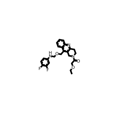 CCOCC(=O)N1CCc2nc3ccccc3c(COCNc3ccc(F)c(F)c3)c2C1